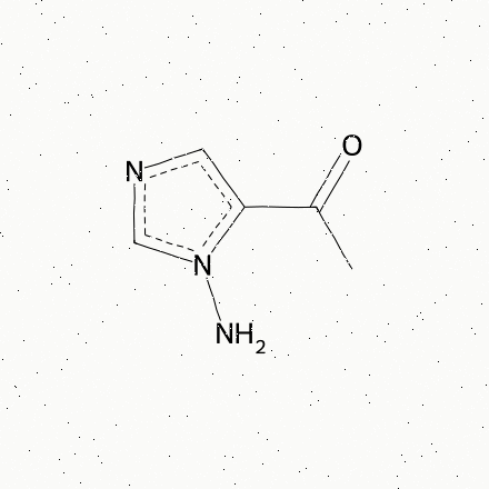 CC(=O)c1cncn1N